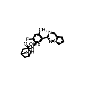 COC1CC2CC(C1)N2C(=O)Nc1cc(-c2ncc3cccn3n2)c(C)cc1F